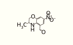 CC1COc2cc([N+](=O)[O-])cc(C=O)c2N1